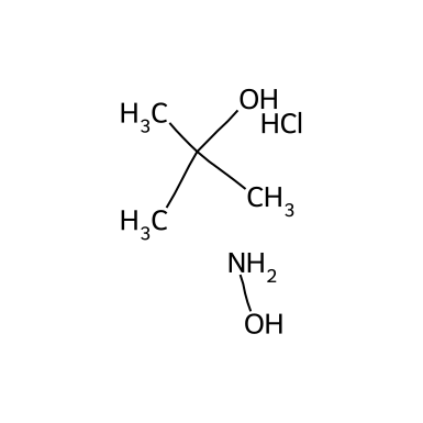 CC(C)(C)O.Cl.NO